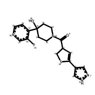 O=C(C1C=C(c2cn[nH]c2)SC1)N1CCC(O)(c2ccncc2F)CC1